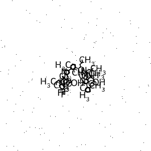 CCCC1CN([C@@H](CC(C)C)C(=O)N[C@@H](CC(=O)O)c2cncc(-c3c(C)cccc3C)c2)C(=O)CC1c1ccc(C)c(-c2cncc([C@H](CC(=O)O)NC(=O)[C@H](CC(C)C)N3CC[C@@H](C(F)(F)F)CC3=O)c2)c1C